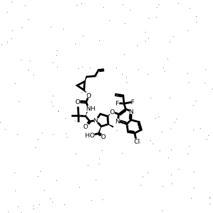 C=CCC[C@@H]1C[C@H]1OC(=O)N[C@H](C(=O)N1C[C@H](Oc2nc3cc(Cl)ccc3nc2C(F)(F)C=C)[C@@H](C)[C@H]1C(=O)O)C(C)(C)C